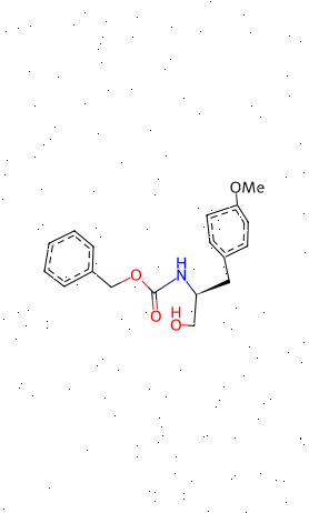 COc1ccc(C[C@@H](CO)NC(=O)OCc2ccccc2)cc1